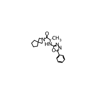 C[C@H](Nc1nnc(-c2ccccc2)o1)C(=O)N1CC2(CCCC2)C1